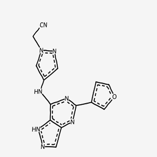 N#CCn1cc(Nc2nc(-c3ccoc3)nc3cn[nH]c23)cn1